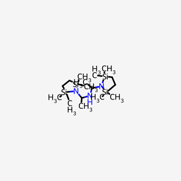 CC(NC(C)N1[Si](C)(C)CC[Si]1(C)C)N1[Si](C)(C)CC[Si]1(C)C